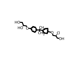 CC(C)(c1ccc(OC[C@@H](O)CO)cc1)c1ccc(OC[C@@H](Cl)CO)cc1